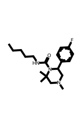 CCCCCNC(=O)N1C(c2ccc(F)cc2)CN(C)CC1(C)C